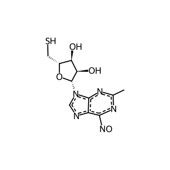 Cc1nc(N=O)c2ncn([C@@H]3O[C@H](CS)[C@@H](O)[C@H]3O)c2n1